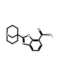 NC(=O)c1cccc2nc(C34CCCN(CCC3)C4)oc12